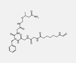 CC(CC(N)=O)OCNC(=O)CNC(=O)[C@H](Cc1ccccc1)NC(=O)CNC(=O)CNC(=O)CCCCCNC=O